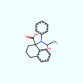 CC(O)N(c1ccccc1)C1(C(=O)O)CCCc2ccccc21